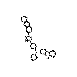 c1ccc(N(c2ccc(-c3nsc(-c4ccc5cc6ccccc6cc5c4)n3)cc2)c2ccc3c(c2)sc2ccccc23)cc1